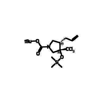 C=CC[C@H]1CN(C(=O)OC(C)(C)C)C[C@]1(O[Si](C)(C)C)C(Cl)(Cl)Cl